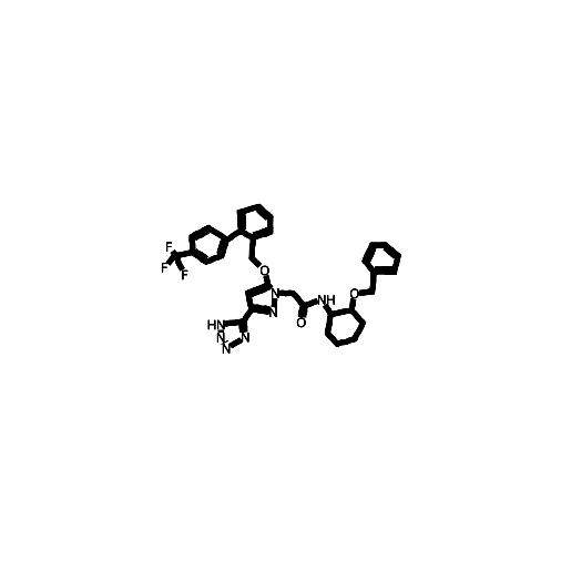 O=C(Cn1nc(-c2nnn[nH]2)cc1OCc1ccccc1-c1ccc(C(F)(F)F)cc1)NC1CCCCC1OCc1ccccc1